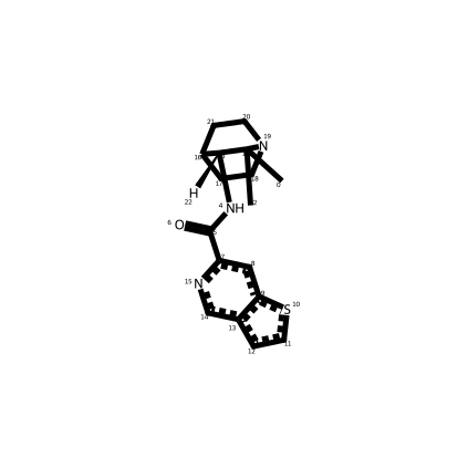 CC1(C)[C@H](NC(=O)c2cc3sccc3cn2)C2CCN1CC2